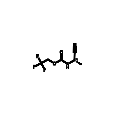 C[C@@H](C#N)NC(=O)OCC(F)(F)F